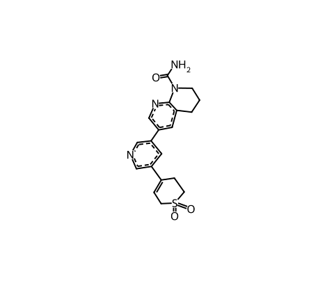 NC(=O)N1CCCc2cc(-c3cncc(C4=CCS(=O)(=O)CC4)c3)cnc21